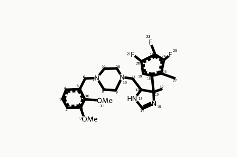 COc1cccc(CN2CCN(CC3NC=NC3(C)c3cc(F)c(F)c(F)c3C)CC2)c1OC